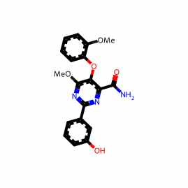 COc1ccccc1Oc1c(OC)nc(-c2cccc(O)c2)nc1C(N)=O